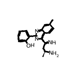 Cc1ccc2c(C(=N)C[C@H](C)N)nc(-c3ccccc3O)nc2c1